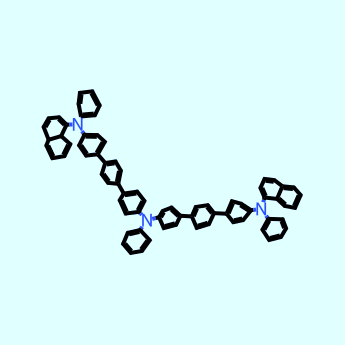 C1=CC2C=CC=C(N(c3ccccc3)c3ccc(-c4ccc(-c5ccc(N(c6ccccc6)c6ccc(-c7ccc(-c8ccc(N(c9ccccc9)c9cccc%10ccccc9%10)cc8)cc7)cc6)cc5)cc4)cc3)C2C=C1